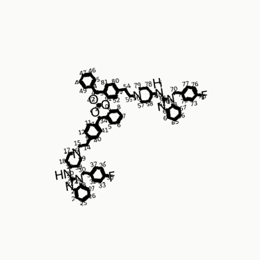 O=C(OC(c1ccccc1)c1ccc(CCN2CCC(Nc3nc4ccccc4n3Cc3ccc(F)cc3)CC2)cc1)OC(c1ccccc1)c1ccc(CCN2CCC(Nc3nc4ccccc4n3Cc3ccc(F)cc3)CC2)cc1